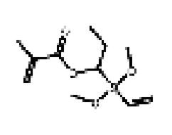 C=C[Si](OC)(OC)C(CC)OC(=O)C(=C)C